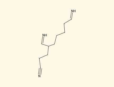 N#CCCC(C=N)CCCCC=N